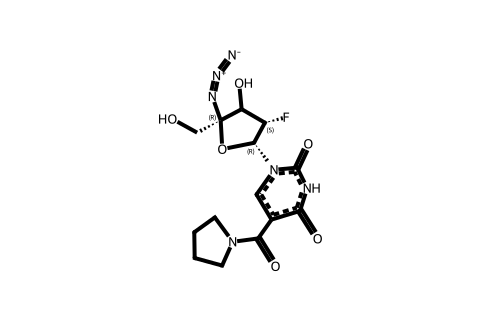 [N-]=[N+]=N[C@]1(CO)O[C@@H](n2cc(C(=O)N3CCCC3)c(=O)[nH]c2=O)[C@@H](F)C1O